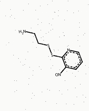 NCCSSc1ncccc1N=O